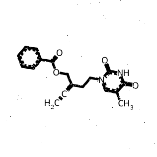 C=C=C(CCn1cc(C)c(=O)[nH]c1=O)COC(=O)c1ccccc1